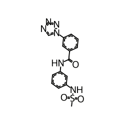 CS(=O)(=O)Nc1cccc(NC(=O)c2cccc(-n3cnnn3)c2)c1